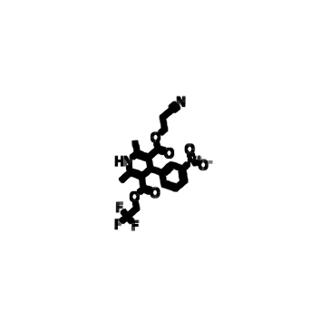 CC1=C(C(=O)OCCC#N)C(c2cccc([N+](=O)[O-])c2)C(C(=O)OCC(F)(F)F)=C(C)N1